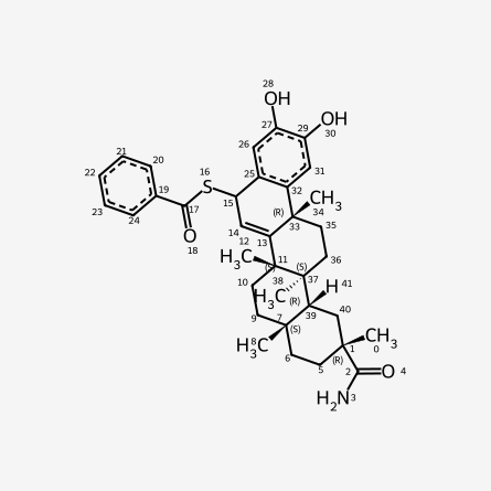 C[C@@]1(C(N)=O)CC[C@]2(C)CC[C@]3(C)C4=CC(SC(=O)c5ccccc5)c5cc(O)c(O)cc5[C@]4(C)CC[C@@]3(C)[C@@H]2C1